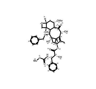 CO[C@H]1C[C@H]2OC[C@@]2(OC(C)=O)C2[C@H](OCc3ccccc3)[C@]3(O)C[C@H](OC(=O)[C@H](O)[C@@H](NC(=O)OC(C)(C)C)c4ccccc4)C(C)=C([C@@H](O)C(=O)[C@@]21C)C3(C)C